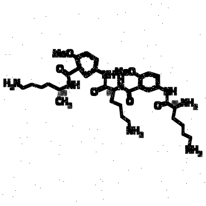 COc1ccc(NC(=O)[C@H](CCCCN)NC(=O)c2cc(NC(=O)[C@@H](N)CCCCN)ccc2OC)cc1C(=O)N[C@H](C)CCCCN